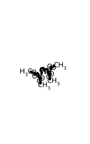 CCOC(=O)CN(CC(=O)OCC)CC1CCCC(CN(CC(=O)OCC)CC(=O)OCC)N1